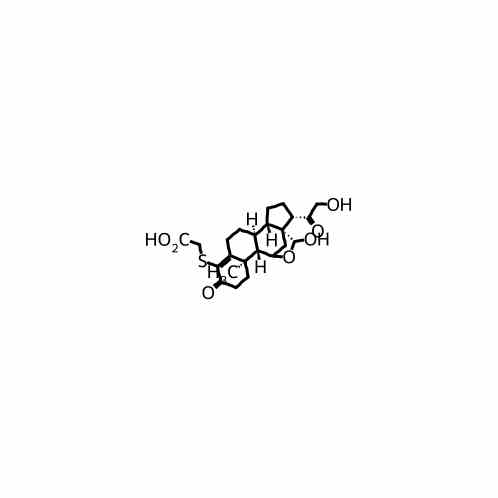 C[C@]12CCC(=O)C(SCC(=O)O)=C1CC[C@H]1[C@@H]3CC[C@H](C(=O)CO)[C@@]34CC(OC4O)[C@@H]12